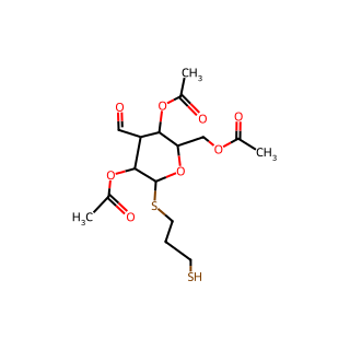 CC(=O)OCC1OC(SCCCS)C(OC(C)=O)C(C=O)C1OC(C)=O